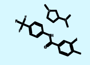 CN1CCC(N(C)C)C1.Cc1ccc(C(=O)Nc2ccc(C(F)(F)F)cc2)cc1I